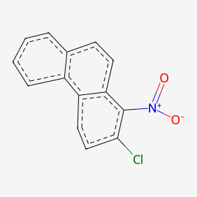 O=[N+]([O-])c1c(Cl)ccc2c1ccc1ccccc12